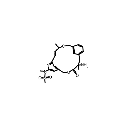 CC1/C=C/c2cc(cc(N(C)S(C)(=O)=O)n2)COC(=O)C(C)(N)Cc2cccc(c2)CC1